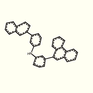 c1cc(Nc2cccc(-c3cc4ccccc4c4ccccc34)c2)cc(-c2ccc3ccccc3c2)c1